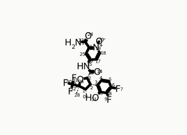 C[C@H]1[C@@H](c2ccc(F)c(F)c2O)[C@@H](C(=O)Nc2cc[n+]([O-])c(C(N)=O)c2)O[C@]1(C)C(F)(F)F